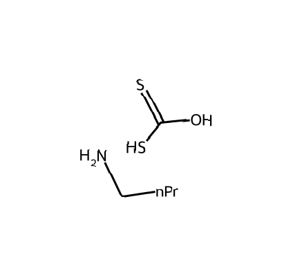 CCCCN.OC(=S)S